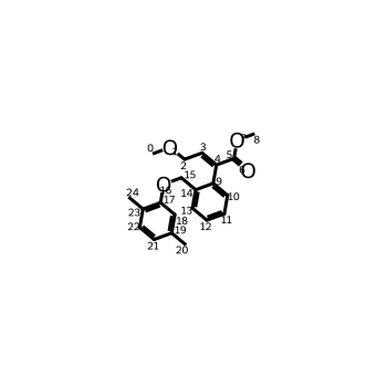 COC/C=C(/C(=O)OC)c1ccccc1COc1cc(C)ccc1C